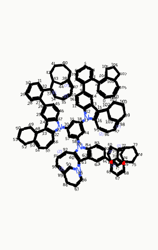 C1=CC(c2ccccc2-c2ccc3c(c2)c2c(n3-c3cc(-n4c5c(c6cc(-c7ccccc7/C7=C/C=C\C=C8\CCCCC7C8)ccc64)C4CCCCC4=CC=C5)cc(-n4c5c(c6cc(-c7ccccc7C7=C8/CCCC(\C=C/C=C\7)C8)ccc64)N4CCC/C(=C/C=C\5)C4)c3)/C=C\C=C3\CCCC2C3)=C2CCCC2C=C1